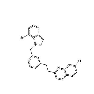 [CH2]Cc1cccc2ccn(Cc3cccc(CCc4ccc5ccc(Cl)cc5n4)c3)c12